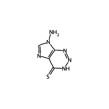 Nn1cnc2c(=S)[nH]nnc21